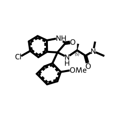 COc1ccccc1C1(N[C@@H](C)C(=O)N(C)C)C(=O)Nc2ccc(Cl)cc21